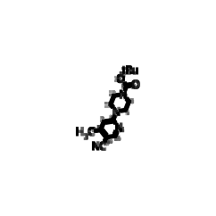 Cc1cc(N2CCN(C(=O)OC(C)(C)C)CC2)ncc1C#N